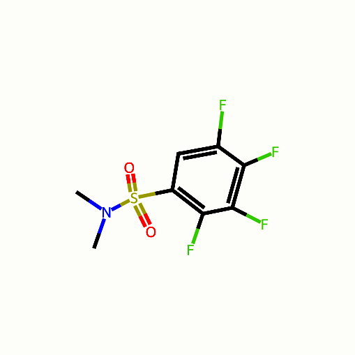 CN(C)S(=O)(=O)c1cc(F)c(F)c(F)c1F